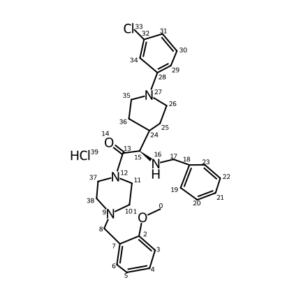 COc1ccccc1CN1CCN(C(=O)[C@H](NCc2ccccc2)C2CCN(c3cccc(Cl)c3)CC2)CC1.Cl